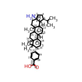 CC(C)[C@@H]1CC[C@]2(N)CC[C@]3(C)[C@H](CC[C@@H]4[C@@]5(C)CC[C@H](c6ccc(C(=O)O)cc6)C(C)(C)[C@@H]5CC[C@]43C)[C@@H]12